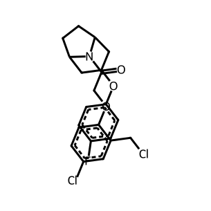 O=C(COc1ccc(Cl)cc1CCl)N1C2CCC1CC(Oc1ccc(F)cc1)C2